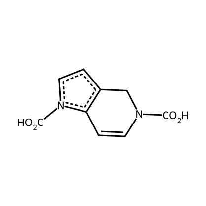 O=C(O)N1C=Cc2c(ccn2C(=O)O)C1